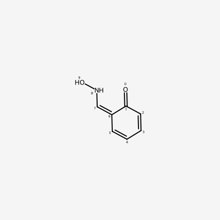 O=C1C=CC=CC1=CNO